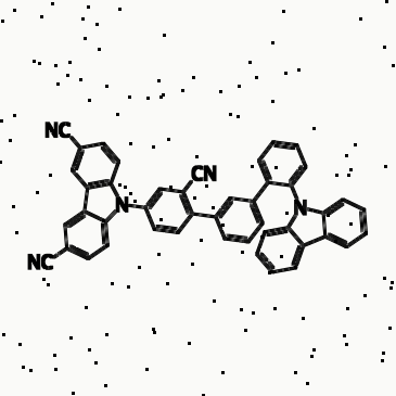 N#Cc1ccc2c(c1)c1cc(C#N)ccc1n2-c1ccc(-c2cccc(-c3ccccc3-n3c4ccccc4c4ccccc43)c2)c(C#N)c1